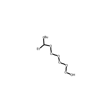 CCCCC(CC)OOOOOOO